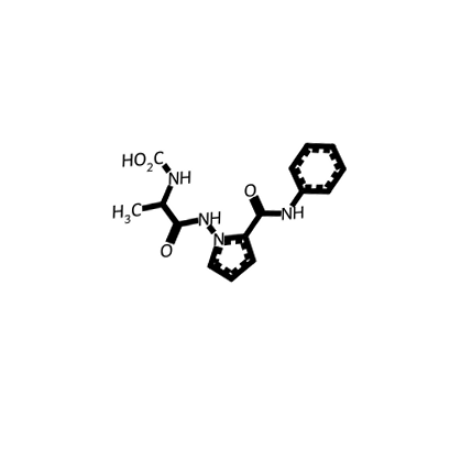 CC(NC(=O)O)C(=O)Nn1cccc1C(=O)Nc1ccccc1